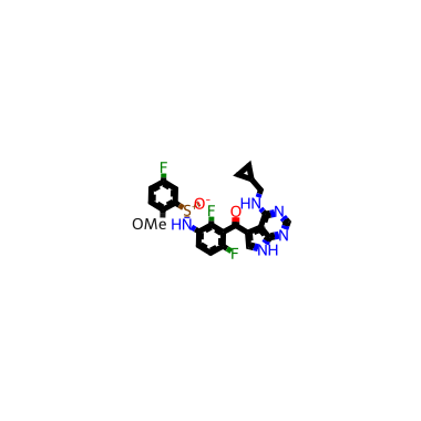 COc1ccc(F)cc1[S+]([O-])Nc1ccc(F)c(C(=O)c2c[nH]c3ncnc(NCC4CC4)c23)c1F